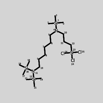 C[Si](C)(C)N(CCCCCCN([Si](C)(C)C)[Si](C)(C)C)CCC[Si](Cl)(Cl)Cl